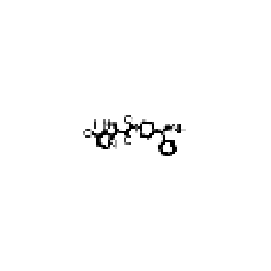 N=CC(=C1CCN(C(=O)C(=O)c2c[nH]c3c(Cl)ccnc23)CC1)c1ccccc1